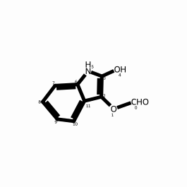 O=COc1c(O)[nH]c2ccccc12